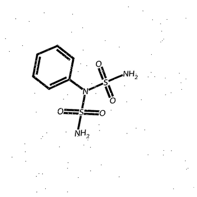 NS(=O)(=O)N(c1ccccc1)S(N)(=O)=O